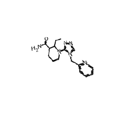 CCC1C(C(N)=O)CCCN1c1nncn1Cc1ccccn1